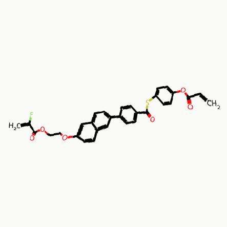 C=CC(=O)Oc1ccc(SC(=O)c2ccc(-c3ccc4cc(OCCOC(=O)C(=C)F)ccc4c3)cc2)cc1